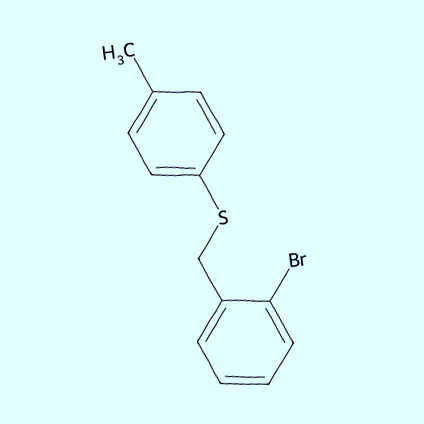 Cc1ccc(SCc2ccccc2Br)cc1